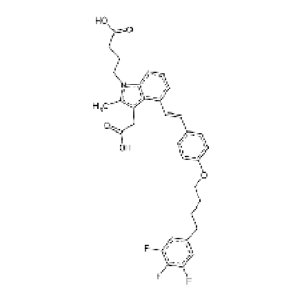 Cc1c(CC(=O)O)c2c(C=Cc3ccc(OCCCCc4cc(F)c(F)c(F)c4)cc3)cccc2n1CCCC(=O)O